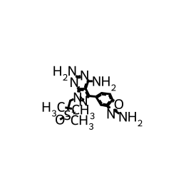 C[S+]([O-])C(C)(C)Cn1nc(-c2ccc3oc(N)nc3c2)c2c(N)nc(N)nc21